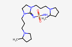 CC1CCCN1CCCN1CCN(CCCN2CCCC2C)C1=NS(N)(=O)=O